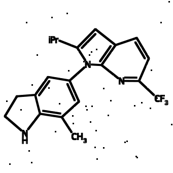 Cc1cc(-n2c(C(C)C)cc3ccc(C(F)(F)F)nc32)cc2c1NCC2